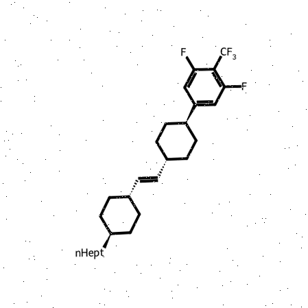 CCCCCCC[C@H]1CC[C@H](/C=C/[C@H]2CC[C@H](c3cc(F)c(C(F)(F)F)c(F)c3)CC2)CC1